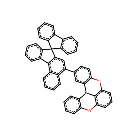 c1ccc2c(c1)Oc1cccc3c1B2c1cc(-c2cc4c(c5ccccc25)-c2ccccc2C42c4ccccc4-c4ccccc42)ccc1O3